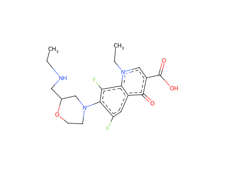 CCNCC1CN(c2c(F)cc3c(=O)c(C(=O)O)cn(CC)c3c2F)CCO1